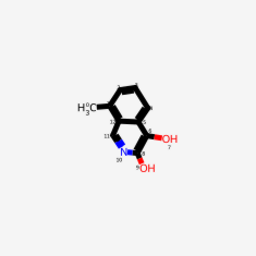 Cc1cccc2c(O)c(O)ncc12